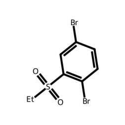 CCS(=O)(=O)c1cc(Br)ccc1Br